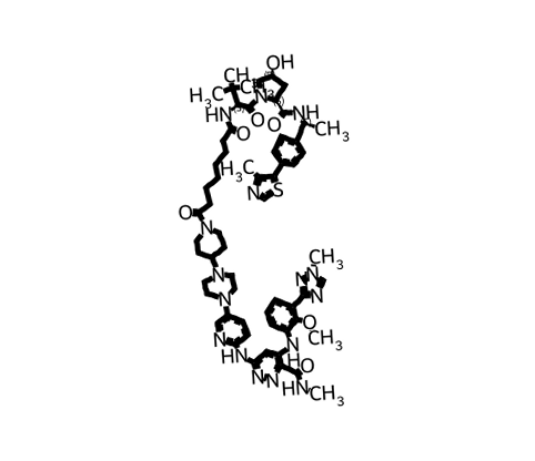 CNC(=O)c1nnc(Nc2ccc(N3CCN(C4CCN(C(=O)CCCCCCC(=O)N[C@H](C(=O)N5C[C@H](O)C[C@H]5C(=O)N[C@@H](C)c5ccc(-c6scnc6C)cc5)C(C)(C)C)CC4)CC3)cn2)cc1Nc1cccc(-c2ncn(C)n2)c1OC